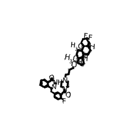 C[C@]12CCC3[C@@H](CC[C@H]4CC(F)(F)CC[C@]34C)[C@@H]1CC[C@@H]2OCCCCN1CCN(C(=O)c2cc(Cc3n[nH]c(=O)c4ccccc34)ccc2F)CC1